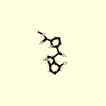 COC(=O)c1cccc(C(=O)c2c[nH]c3cccc(Cl)c23)n1